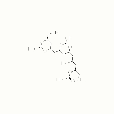 CCC(CC(O)CC1CC(CC2CC(CC)OC(C)O2)OC(C)O1)OC(C)=O